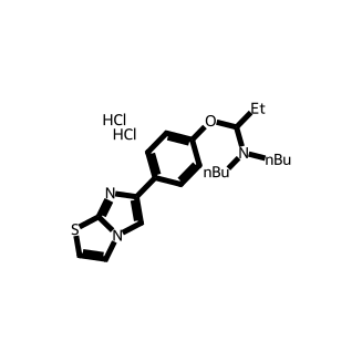 CCCCN(CCCC)C(CC)Oc1ccc(-c2cn3ccsc3n2)cc1.Cl.Cl